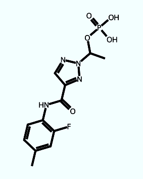 Cc1ccc(NC(=O)c2cnn(C(C)OP(=O)(O)O)n2)c(F)c1